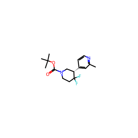 Cc1cc([C@H]2CN(C(=O)OC(C)(C)C)CCC2(F)F)ccn1